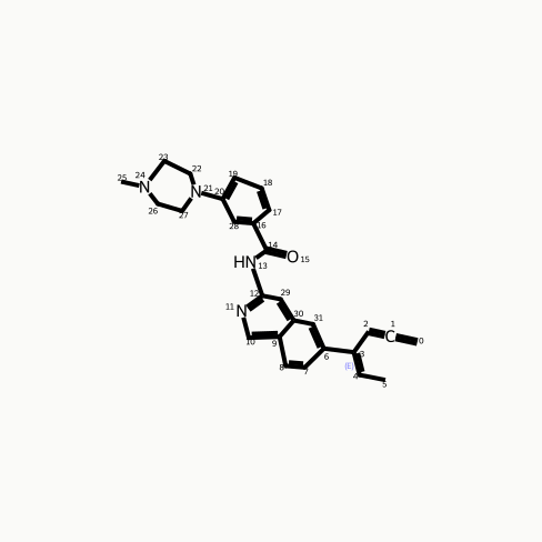 C=C=C/C(=C\C)c1ccc2cnc(NC(=O)c3cccc(N4CCN(C)CC4)c3)cc2c1